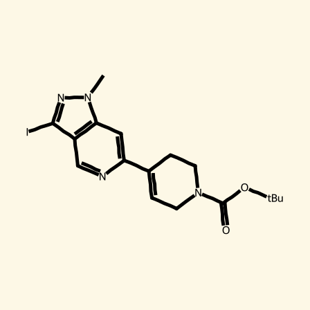 Cn1nc(I)c2cnc(C3=CCN(C(=O)OC(C)(C)C)CC3)cc21